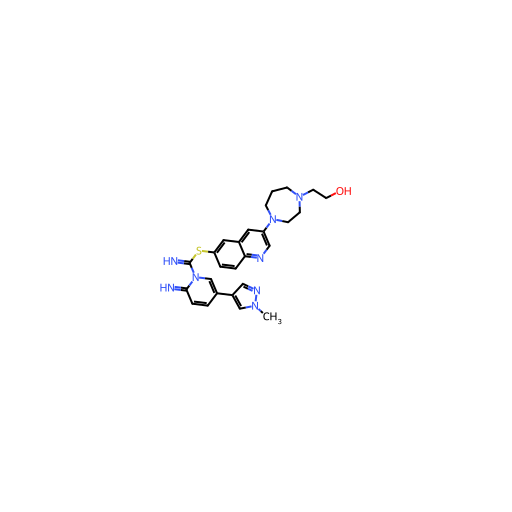 Cn1cc(-c2ccc(=N)n(C(=N)Sc3ccc4ncc(N5CCCN(CCO)CC5)cc4c3)c2)cn1